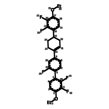 CCOc1ccc(-c2ccc(C3=CCC(c4ccc(OCC)c(F)c4F)CC3)cc2F)c(F)c1F